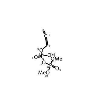 C=C=COP(=O)(O)OP(=O)(OC)OC